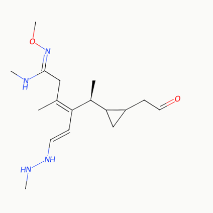 CNN/C=C/C(=C(\C)C/C(=N/OC)NC)[C@@H](C)C1CC1CC=O